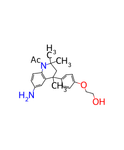 CC(=O)N1c2ccc(N)cc2C(C)(c2ccc(OCCO)cc2)CC1(C)C